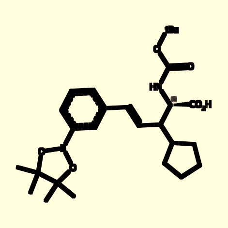 CC(C)(C)OC(=O)N[C@H](C(=O)O)C(C=Cc1cccc(B2OC(C)(C)C(C)(C)O2)c1)C1CCCC1